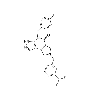 O=c1c2c(c3cn[nH]c3n1Cc1ccc(Cl)cc1)CN(Cc1cccc(C(F)F)c1)C2